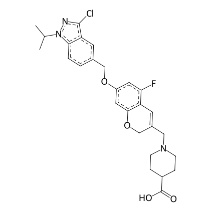 CC(C)n1nc(Cl)c2cc(COc3cc(F)c4c(c3)OCC(CN3CCC(C(=O)O)CC3)=C4)ccc21